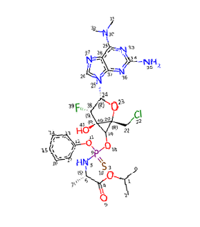 CC(C)OC(=O)[C@H](C)NP(=S)(Oc1ccccc1)OC1[C@@]2(CCl)O[C@@H](n3cnc4c(N(C)C)nc(N)nc43)[C@@H](F)[C@@]12O